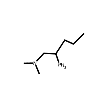 CCCC(P)CN(C)C